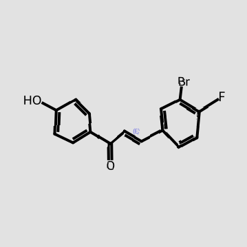 O=C(/C=C/c1ccc(F)c(Br)c1)c1ccc(O)cc1